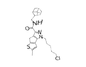 Cc1cc2c(s1)Cc1c(C(=O)NCC3CCC4CC3C4(C)C)nn(CCCCCCl)c1-2